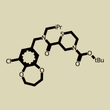 CC(C)CN(Cc1cc(Cl)c2c(c1)OCCCO2)C(=O)C1CN(C(=O)OC(C)(C)C)CCS1